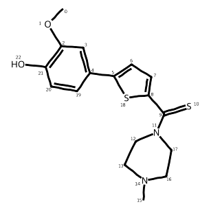 COc1cc(-c2ccc(C(=S)N3CCN(C)CC3)s2)ccc1O